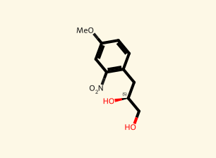 COc1ccc(C[C@H](O)CO)c([N+](=O)[O-])c1